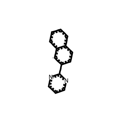 [c]1c(-c2ncccn2)ccc2ccccc12